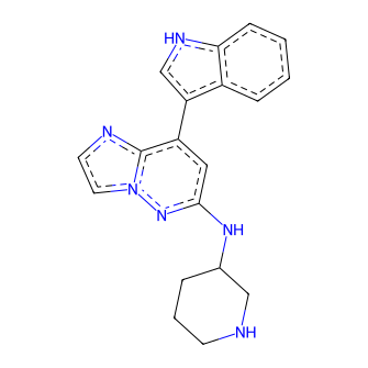 c1ccc2c(-c3cc(NC4CCCNC4)nn4ccnc34)c[nH]c2c1